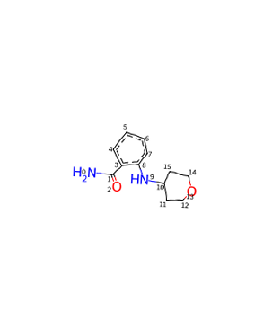 NC(=O)c1ccccc1NC1CCOCC1